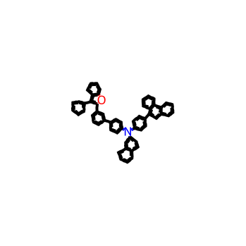 c1ccc(-c2c(-c3cccc(-c4ccc(N(c5ccc(-c6cc7ccccc7c7ccccc67)cc5)c5ccc6ccccc6c5)cc4)c3)oc3ccccc23)cc1